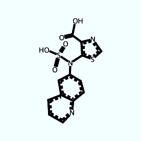 O=C(O)c1ncsc1N(c1ccc2ncccc2c1)S(=O)(=O)O